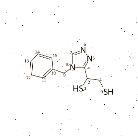 SCC(S)c1nncn1Cc1ccccc1